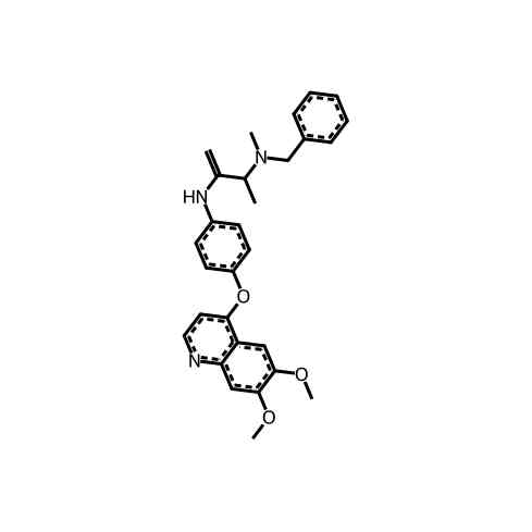 C=C(Nc1ccc(Oc2ccnc3cc(OC)c(OC)cc23)cc1)C(C)N(C)Cc1ccccc1